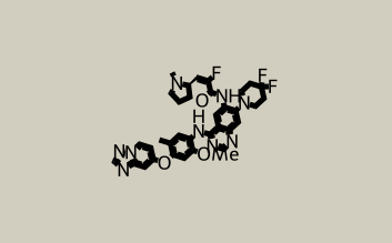 COc1cc(Oc2ccn3ncnc3c2)c(C)cc1Nc1ncnc2cc(N3CCC(F)(F)CC3)c(NC(=O)/C(F)=C\[C@H]3CCCN3C)cc12